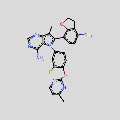 Cc1ccnc(Oc2ccc(-n3c(-c4ccc(N)c5c4OCC5)c(C)c4ncnc(N)c43)cc2F)n1